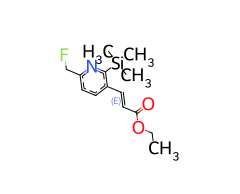 CCOC(=O)/C=C/c1ccc(CF)nc1[Si](C)(C)C